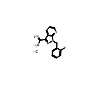 Cl.N=C(N)c1nn(Cc2ccccc2F)c2ncccc12